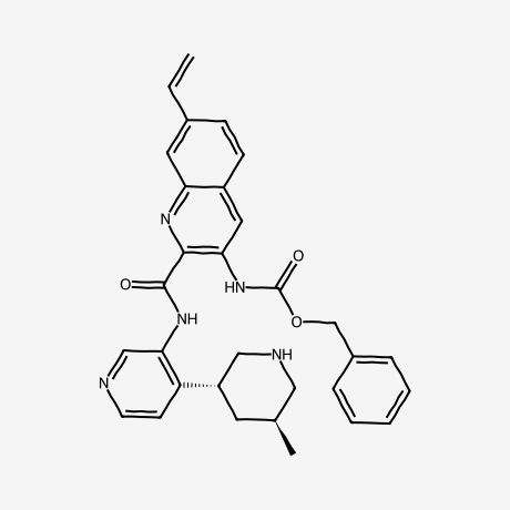 C=Cc1ccc2cc(NC(=O)OCc3ccccc3)c(C(=O)Nc3cnccc3[C@@H]3CNC[C@@H](C)C3)nc2c1